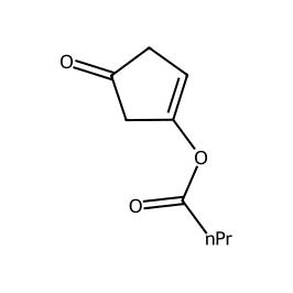 CCCC(=O)OC1=CCC(=O)C1